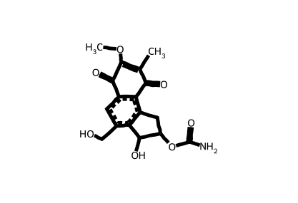 COC1=C(C)C(=O)c2c(cc(CO)c3c2CC(OC(N)=O)C3O)C1=O